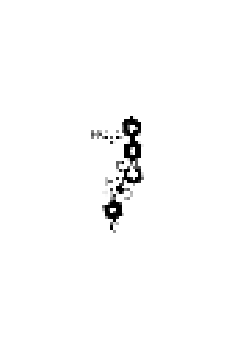 O=C(Nc1ccc(Cl)cc1)N[C@@H]1CCCN(c2ccc(-c3ccccc3C(=O)O)cc2)C1=O